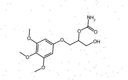 COc1cc(OCC(CO)OC(N)=O)cc(OC)c1OC